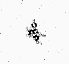 CSc1cc(C)nc(C(C)C)c1-n1c(=O)nc(N2CCNC[C@@H]2C)c2cc(F)c(Cl)nc21